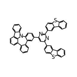 c1ccc2c(c1)-c1cc(-c3cc(-c4ccc5sc6ccccc6c5c4)nc(-c4ccc5sc6ccccc6c5c4)n3)ccc1-n1c3ccccc3c3cccc-2c31